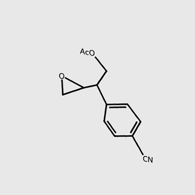 CC(=O)OCC(c1ccc(C#N)cc1)C1CO1